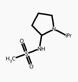 CC(C)N1CCCC1NS(C)(=O)=O